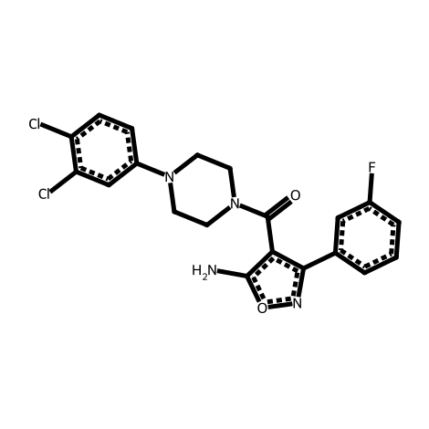 Nc1onc(-c2cccc(F)c2)c1C(=O)N1CCN(c2ccc(Cl)c(Cl)c2)CC1